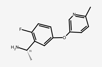 Cc1ccc(Oc2ccc(F)c([C@H](C)N)c2)cn1